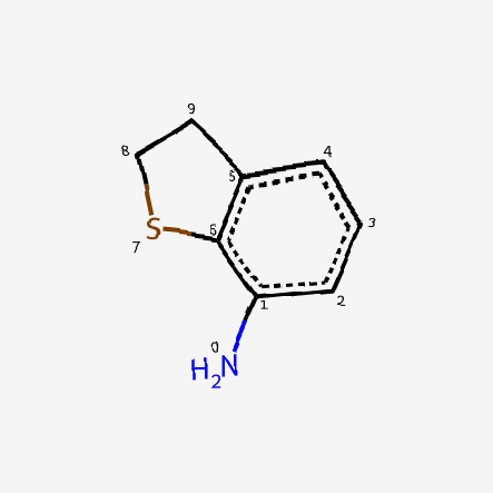 Nc1cccc2c1SCC2